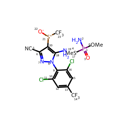 COP(N)(=O)SC.N#Cc1nn(-c2c(Cl)cc(C(F)(F)F)cc2Cl)c(N)c1[S+]([O-])C(F)(F)F